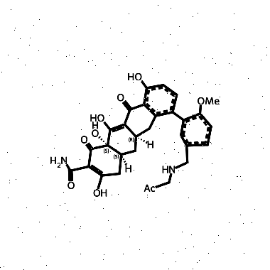 COc1ccc(CNCC(C)=O)cc1-c1ccc(O)c2c1C[C@H]1C[C@H]3CC(O)=C(C(N)=O)C(=O)[C@@]3(O)C(O)=C1C2=O